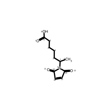 CC(CCCCC(=O)O)N1C(=O)C=CC1=O